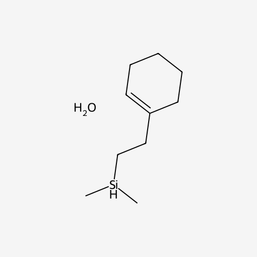 C[SiH](C)CCC1=CCCCC1.O